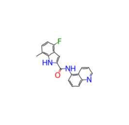 Cc1ccc(F)c2cc(C(=O)Nc3cccc4ncccc34)[nH]c12